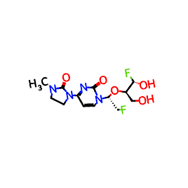 CN1CCN(c2ccn([C@@H](CF)O[C@H](CO)[C@@H](O)F)c(=O)n2)C1=O